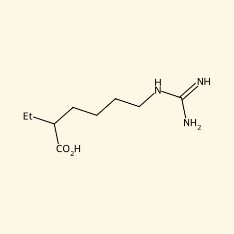 CCC(CCCCNC(=N)N)C(=O)O